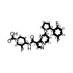 O=C(NC1CCN(C(=O)O)CC1F)c1cnn2ccc(N3CCCC3c3cc(F)ccc3F)nc12